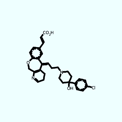 O=C(O)/C=C/c1ccc2c(c1)/C(=C/CCN1CCC(O)(c3ccc(Cl)cc3)CC1)C1=C(CO2)N=CCC1